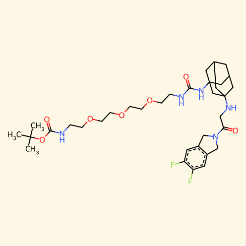 CC(C)(C)OC(=O)NCCOCCOCCOCCNC(=O)NC12CC3CC(CC(NCC(=O)N4Cc5cc(F)c(F)cc5C4)(C3)C1)C2